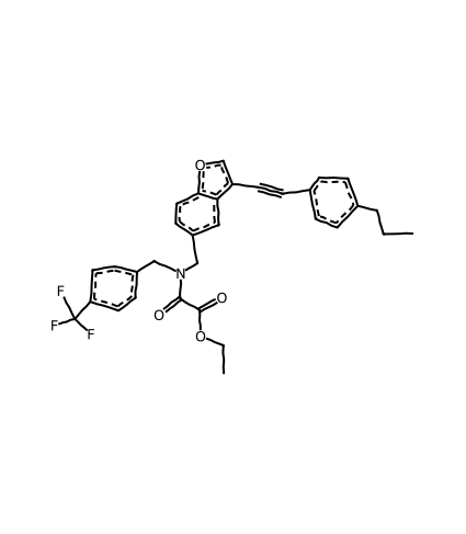 CCCc1ccc(C#Cc2coc3ccc(CN(Cc4ccc(C(F)(F)F)cc4)C(=O)C(=O)OCC)cc23)cc1